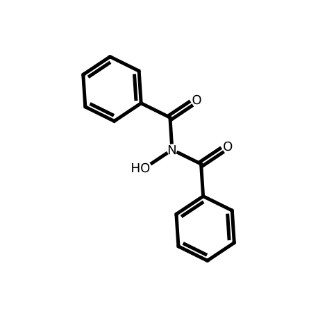 O=C(c1ccccc1)N(O)C(=O)c1ccccc1